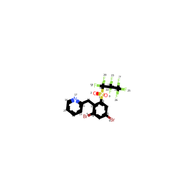 O=S(=O)(c1cc(Br)[c]c(Br)c1Cc1ccccn1)C(F)(F)C(F)(F)C(F)(F)F